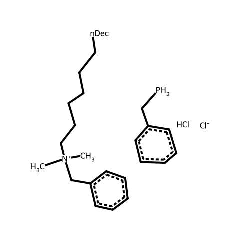 CCCCCCCCCCCCCCCC[N+](C)(C)Cc1ccccc1.Cl.PCc1ccccc1.[Cl-]